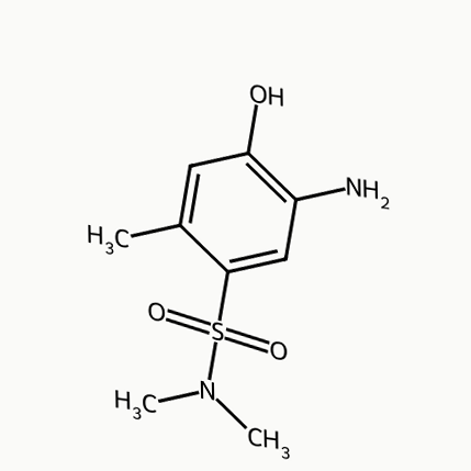 Cc1cc(O)c(N)cc1S(=O)(=O)N(C)C